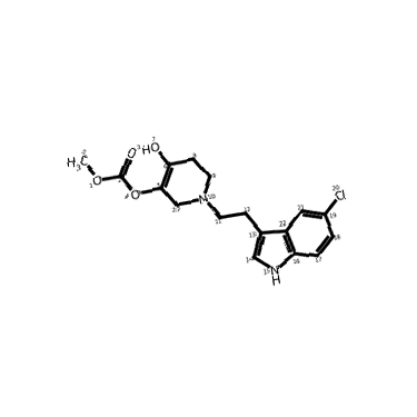 COC(=O)OC1=C(O)CCN(CCc2c[nH]c3ccc(Cl)cc23)C1